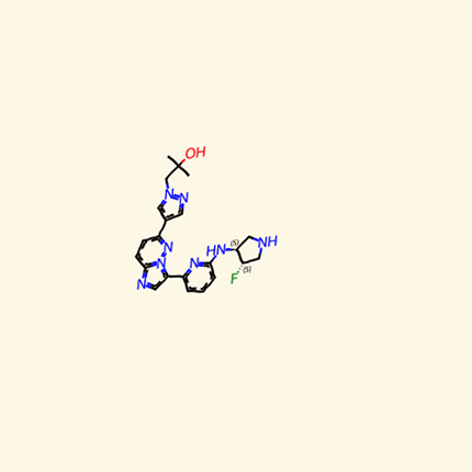 CC(C)(O)Cn1cc(-c2ccc3ncc(-c4cccc(N[C@H]5CNC[C@@H]5F)n4)n3n2)cn1